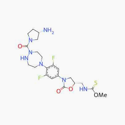 COC(=S)NC[C@H]1CN(c2cc(F)c(N3CCNN(C(=O)N4CC[C@H](N)C4)CC3)c(F)c2)C(=O)O1